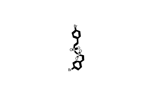 O=S(=O)(C=Cc1ccc(Br)cc1)CS(=O)(=O)/C=C\c1ccc(Br)cc1